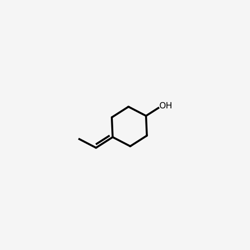 CC=C1CCC(O)CC1